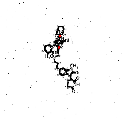 CN(CC#Cc1cnc(N2C3CCC2CN(c2cc(-c4ccccc4O)nnc2N)C3)nc1)CCCc1ccc2c(c1)n(C)c(=O)n2C1CCC(=O)NC1=O